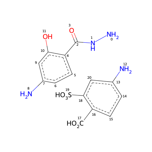 NNC(=O)c1ccc(N)cc1O.Nc1ccc(C(=O)O)c(S(=O)(=O)O)c1